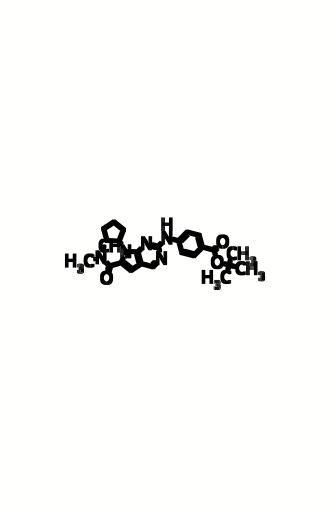 CN(C)C(=O)c1cc2cnc(Nc3ccc(C(=O)OC(C)(C)C)cc3)nc2n1C1CCCC1